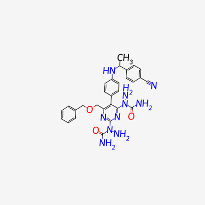 CC(Nc1ccc(-c2c(COCc3ccccc3)nc(N(N)C(N)=O)nc2N(N)C(N)=O)cc1)c1ccc(C#N)cc1